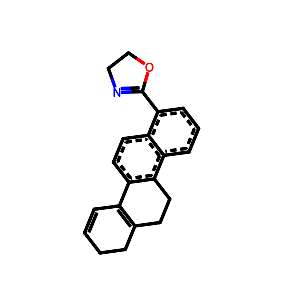 C1=CC2=C(CC1)CCc1c2ccc2c(C3=NCCO3)cccc12